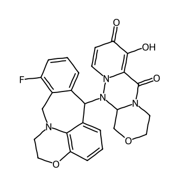 O=C1c2c(O)c(=O)ccn2N(C2c3cccc(F)c3CN3CCOc4cccc2c43)C2COCCN12